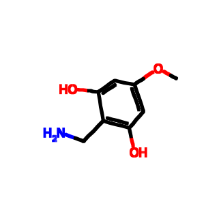 COc1cc(O)c(CN)c(O)c1